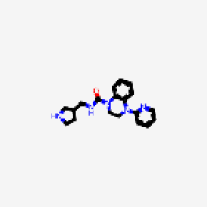 O=C(NCC1CCNC1)N1CCN(c2ccccn2)c2ccccc21